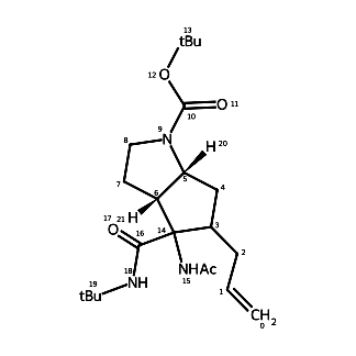 C=CCC1C[C@@H]2[C@@H](CCN2C(=O)OC(C)(C)C)C1(NC(C)=O)C(=O)NC(C)(C)C